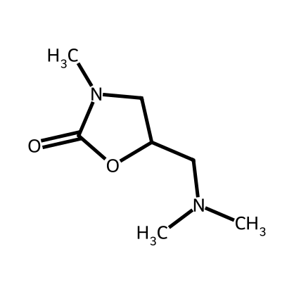 CN(C)CC1CN(C)C(=O)O1